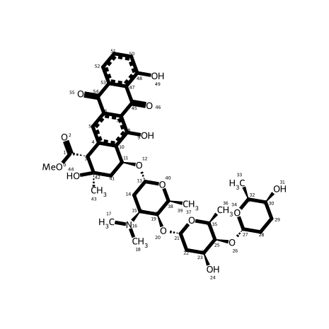 COC(=O)[C@@H]1c2cc3c(c(O)c2[C@@H](O[C@H]2C[C@H](N(C)C)[C@H](O[C@H]4C[C@H](O)[C@H](O[C@H]5CC[C@H](O)[C@H](C)O5)[C@H](C)O4)[C@H](C)O2)C[C@@]1(C)O)C(=O)c1c(O)cccc1C3=O